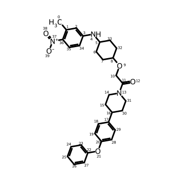 Cc1cc(NC2CCC(OCC(=O)N3CCC(c4ccc(Oc5ccccc5)cc4)CC3)CC2)ccc1[N+](=O)[O-]